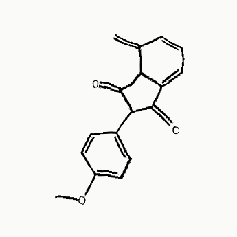 C=C1C=CC=C2C(=O)C(c3ccc(OC)cc3)C(=O)C12